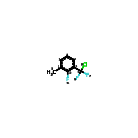 Cc1cccc(C(F)(F)Cl)c1F